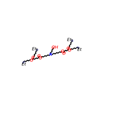 CC/C=C\CCCCOC(CCCC(=O)OCCCCCCN(CCCCO)CCCCCCCOC(=O)CCC(OCCCC/C=C\CC)OCCCC/C=C\CC)OCCCC/C=C\CC